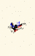 COc1cc2c(cc1OC)C(c1ccc(NC(C)=O)cc1)=NN(c1nncs1)C(C)C2